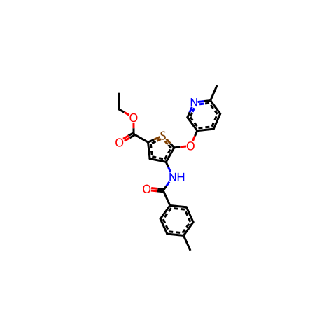 CCOC(=O)c1cc(NC(=O)c2ccc(C)cc2)c(Oc2ccc(C)nc2)s1